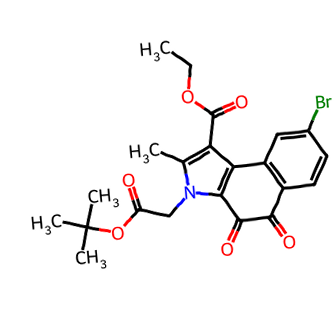 CCOC(=O)c1c2c(n(CC(=O)OC(C)(C)C)c1C)C(=O)C(=O)c1ccc(Br)cc1-2